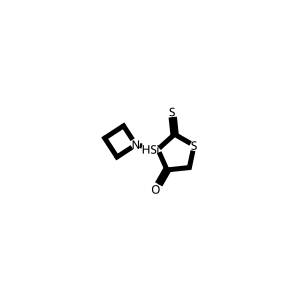 O=C1CSC(=S)[SiH]1N1CCC1